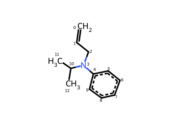 C=CCN(c1ccccc1)C(C)C